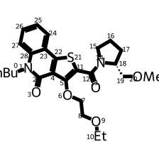 CCCCn1c(=O)c2c(OCCOCC)c(C(=O)N3CCC[C@@H]3COC)sc2c2ccccc21